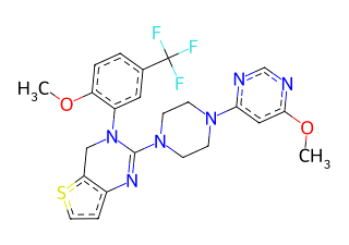 COc1cc(N2CCN(C3=Nc4ccsc4CN3c3cc(C(F)(F)F)ccc3OC)CC2)ncn1